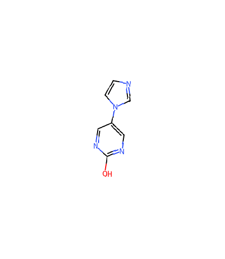 Oc1ncc(-n2ccnc2)cn1